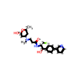 C[C@@H]1C[C@H](N(C)CCC(=O)N[C@H](CF)[C@H](O)c2ccc(-c3cccnc3)cc2)C[C@H](O)O1